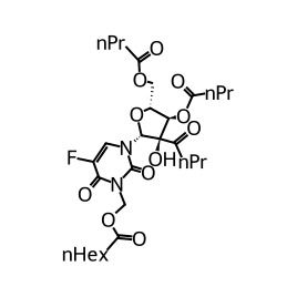 CCCCCCC(=O)OCn1c(=O)c(F)cn([C@@H]2O[C@H](COC(=O)CCC)[C@@H](OC(=O)CCC)[C@]2(O)C(=O)CCC)c1=O